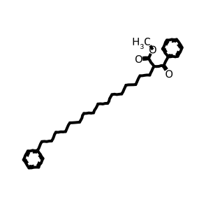 COC(=O)C(CCCCCCCCCCCCCCCCc1ccccc1)C(=O)c1ccccc1